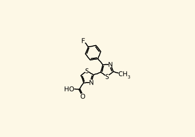 Cc1nc(-c2ccc(F)cc2)c(-c2nc(C(=O)O)cs2)s1